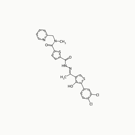 C/C(=N\NC(=O)c1ccc(C(=O)N(C)Cc2ccccn2)s1)c1csc(-c2ccc(Cl)c(Cl)c2)c1O